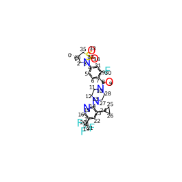 C[C@H]1CN(c2ccc(C(=O)N3CCN(c4ncc(C(F)(F)F)cc4C4CC4)CC3)c(F)c2)S(=O)(=O)C1